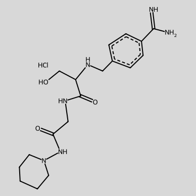 Cl.N=C(N)c1ccc(CNC(CO)C(=O)NCC(=O)NN2CCCCC2)cc1